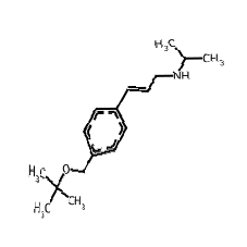 CC(C)NC/C=C/c1ccc(COC(C)(C)C)cc1